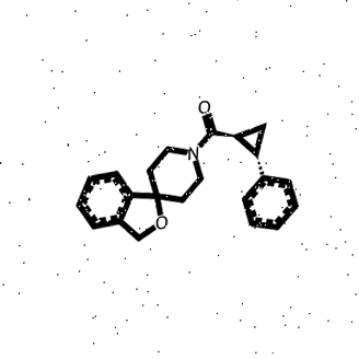 O=C([C@H]1C[C@@H]1c1ccccc1)N1CCC2(CC1)OCc1ccccc12